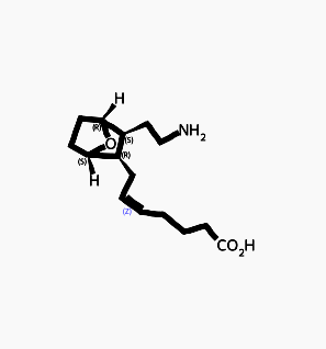 NCC[C@H]1[C@@H](C/C=C\CCCC(=O)O)[C@@H]2CC[C@H]1O2